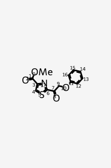 COC(=O)c1csc(C(=O)COc2ccccc2)n1